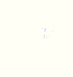 CCCCCCCCN=C1CC=CC=C1/[C]=N/CCCCCCCC